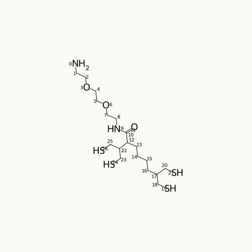 NCCOCCOCCNC(=O)C(CCCCC(CS)CS)C(CS)CS